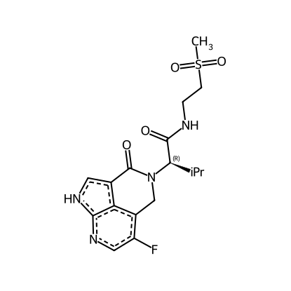 CC(C)[C@H](C(=O)NCCS(C)(=O)=O)N1Cc2c(F)cnc3[nH]cc(c23)C1=O